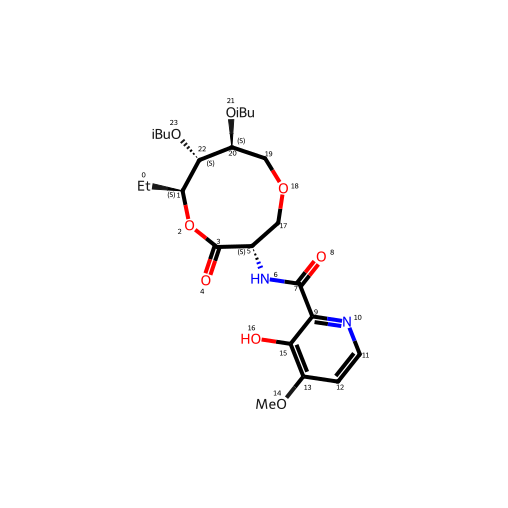 CC[C@@H]1OC(=O)[C@@H](NC(=O)c2nccc(OC)c2O)COC[C@H](OCC(C)C)[C@H]1OCC(C)C